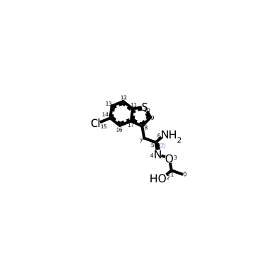 CC(O)O/N=C(\N)Cc1csc2ccc(Cl)cc12